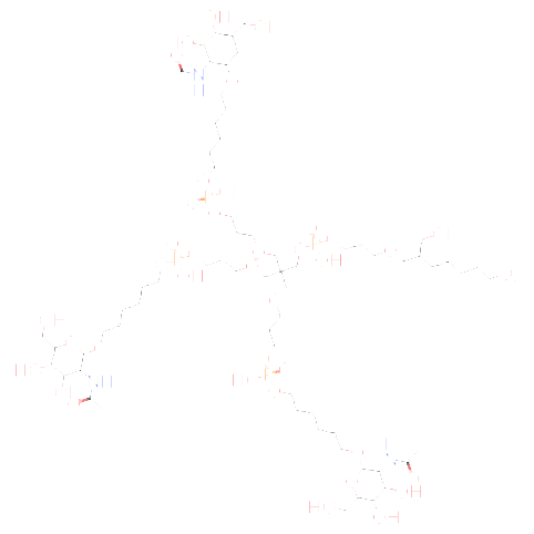 COCCCCCC(CO)COCCCOP(=O)(O)OCC(COCCCOP(=O)(O)OCCCCCCO[C@@H]1OC(CO)[C@H](O)[C@H](O)C1NC(C)=O)(COCCCOP(=O)(O)OCCCCCCO[C@@H]1OC(CO)[C@H](O)C(O)[C@@H]1NC(C)=O)COCCCOP(=O)(O)OCCCCCCO[C@@H]1CC(CO)[C@H](O)C(O)[C@@H]1NC(C)=O